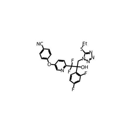 CCSc1nnnn1CC(O)(c1ccc(F)cc1F)C(F)(F)c1ccc(Oc2ccc(C#N)cc2)cn1